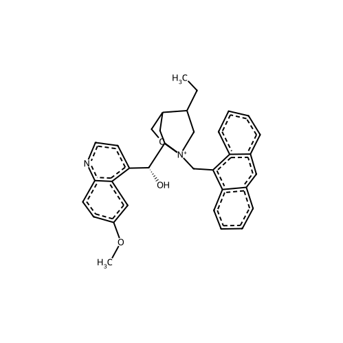 CCC1C[N+]2(Cc3c4ccccc4cc4ccccc34)CCC1CC2[C@H](O)c1ccnc2ccc(OC)cc12